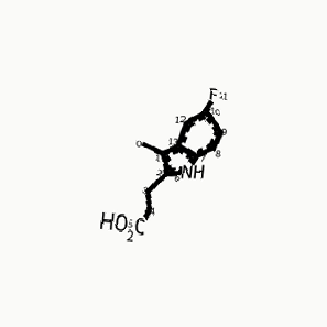 Cc1c(CCC(=O)O)[nH]c2ccc(F)cc12